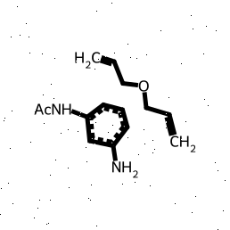 C=CCOCC=C.CC(=O)Nc1cccc(N)c1